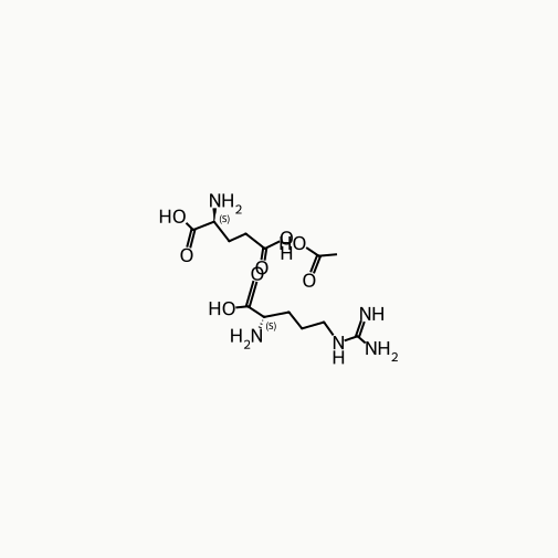 CC(=O)O.N=C(N)NCCC[C@H](N)C(=O)O.N[C@@H](CCC(=O)O)C(=O)O